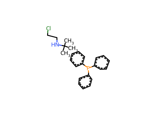 CC(C)(C)NCCCl.c1ccc(P(c2ccccc2)c2ccccc2)cc1